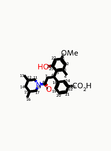 COc1cc(C)c(C(CC(=O)N2CC(C)CC(C)C2)c2cccc(C(=O)O)c2)c(O)c1